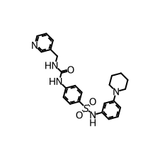 O=C(NCc1cccnc1)Nc1ccc(S(=O)(=O)Nc2cccc(N3CCCCC3)c2)cc1